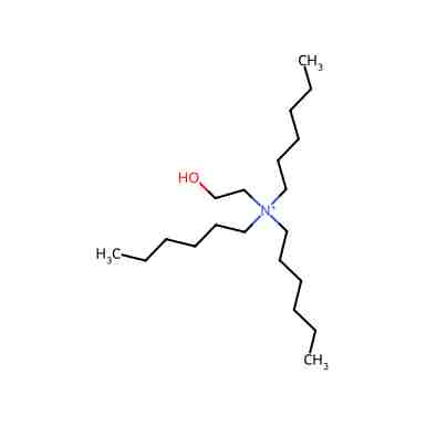 CCCCCC[N+](CCO)(CCCCCC)CCCCCC